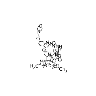 C=CC1C[C@]1(NC(=O)C1C[C@@H](Oc2cc(-n3ccc(NC(C)C)n3)nc3cc(OCCN4CCOCC4)ccc23)CN1C(=O)C(NC(=O)OC1CCC(C)C1)C(C)(C)C)C(=O)O